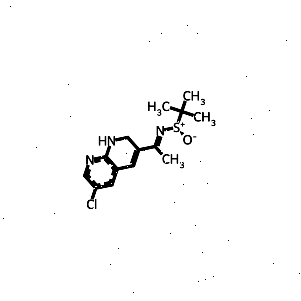 C/C(=N\[S@+]([O-])C(C)(C)C)C1=Cc2cc(Cl)cnc2NC1